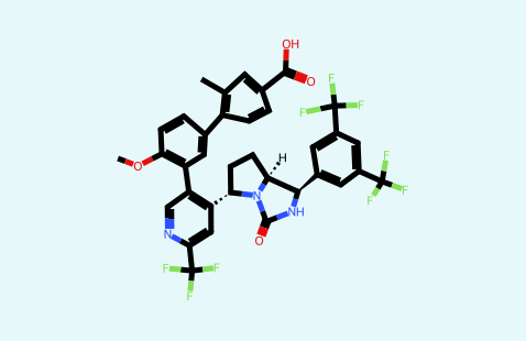 COc1ccc(-c2ccc(C(=O)O)cc2C)cc1-c1cnc(C(F)(F)F)cc1[C@@H]1CC[C@H]2[C@@H](c3cc(C(F)(F)F)cc(C(F)(F)F)c3)NC(=O)N12